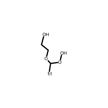 CCC(OO)OCCO